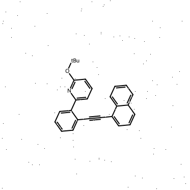 CC(C)(C)Oc1cccc(-c2ccccc2C#Cc2cccc3ccccc23)n1